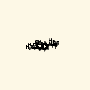 C=CC1=Cc2ccc(NCC(F)(F)F)cc2OC1(C)C